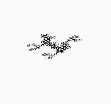 CCCCCCCCCCCCC(CCCCCCCCCC)CCCCCNC(=O)c1c(-c2ccc(C3=NN(C)C(c4ccc(-c5cc(C=O)c6c(COC)c(C#N)cc7c6c5C(=O)N(CCCCCC(CCCCCCCCCC)CCCCCCCCCCCC)C7=O)s4)N=N3)s2)cc2c3c(c(C#N)cc(C=O)c13)C(=O)N(CCCCCC(CCCCCCCCCC)CCCCCCCCCCCC)C2=O